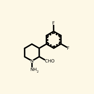 NN1CCCC(c2cc(F)cc(F)c2)C1C=O